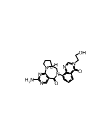 Nc1ncc2c(n1)N1CCC[C@H]1CN(c1cccc3c(=O)n(CCO)cnc13)C2=O